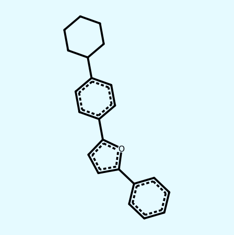 c1ccc(-c2ccc(-c3ccc(C4CCCCC4)cc3)o2)cc1